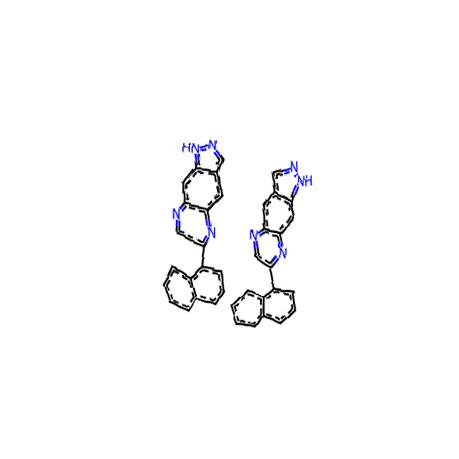 c1ccc2c(-c3cnc4cc5[nH]ncc5cc4n3)cccc2c1.c1ccc2c(-c3cnc4cc5cn[nH]c5cc4n3)cccc2c1